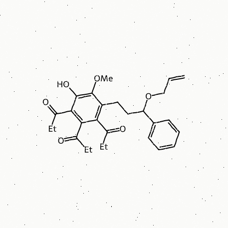 C=CCOC(CCc1c(OC)c(O)c(C(=O)CC)c(C(=O)CC)c1C(=O)CC)c1ccccc1